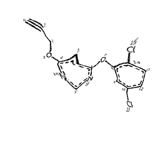 C#CCOc1cc(Oc2cc(Cl)ccc2Cl)ncn1